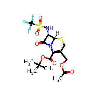 CC(=O)OCC1=C(C(=O)OC(C)(C)C)N2C(=O)[C@@H](NS(=O)(=O)C(F)(F)F)[C@H]2SC1